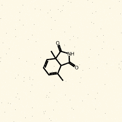 CC1=CC=CC2(C)C(=O)NC(=O)C12